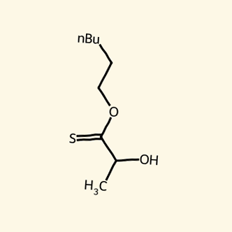 CCCCCCOC(=S)C(C)O